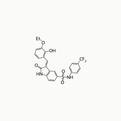 CCOc1cccc(C=C2C(=O)Nc3ccc(S(=O)(=O)Nc4ccc(C(F)(F)F)cc4)cc32)c1O